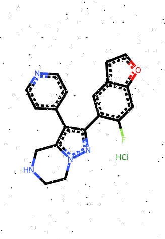 Cl.Fc1cc2occc2cc1-c1nn2c(c1-c1ccncc1)CNCC2